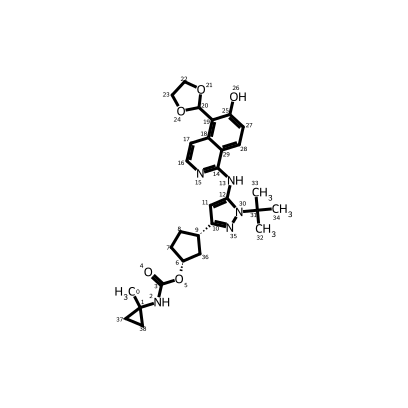 CC1(NC(=O)O[C@@H]2CC[C@H](c3cc(Nc4nccc5c(C6OCCO6)c(O)ccc45)n(C(C)(C)C)n3)C2)CC1